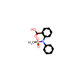 CS(=O)(=O)N(c1ccccc1)c1ccccc1C(=O)O